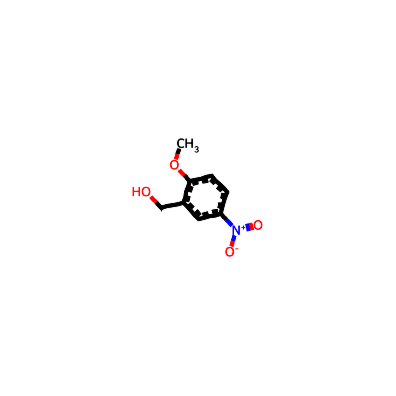 COc1ccc([N+](=O)[O-])cc1[CH]O